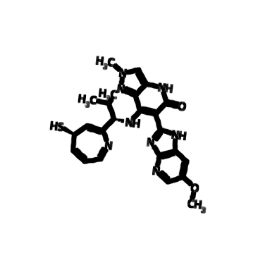 COc1cnc2nc(-c3c(N[C@H](C4=C[C@H](S)C=CC=N4)C(C)C)c4nn(C)cc4[nH]c3=O)[nH]c2c1